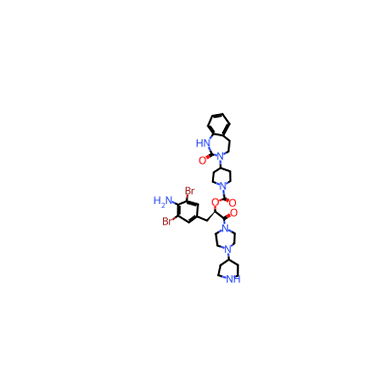 Nc1c(Br)cc(C[C@@H](OC(=O)N2CCC(N3CCc4ccccc4NC3=O)CC2)C(=O)N2CCN(C3CCNCC3)CC2)cc1Br